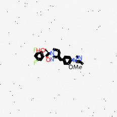 COc1cc(/C=C2\CCCN3C2=NO[C@H](c2cc(F)cc(F)c2)[C@H]3CO)ccc1-n1cnc(C)c1